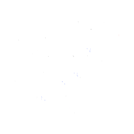 CCP(=O)(CC)c1cc(N2CCOC[C@H]2C)nn2c(I)nc(I)c12